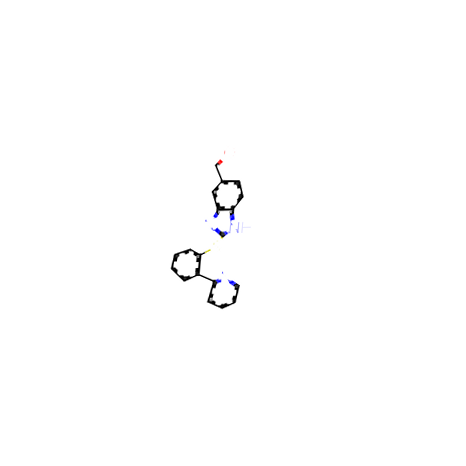 O=Cc1ccc2[nH]c(Sc3ccccc3-c3ccccn3)nc2c1